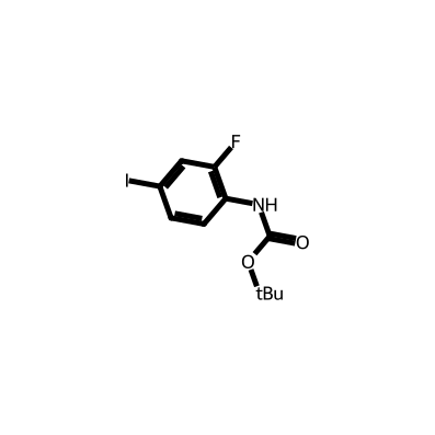 CC(C)(C)OC(=O)Nc1ccc(I)cc1F